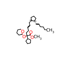 CCCCC=C[C@H]1CCC[C@@H]1CC=CCCC(OC1CCCCO1)(C(=O)OC)C1CCCC1